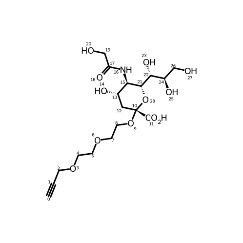 C#CCOCCOCCO[C@]1(C(=O)O)C[C@H](O)[C@@H](NC(=O)CO)[C@H]([C@H](O)[C@H](O)CO)O1